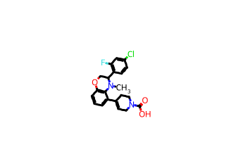 CN1c2c(cccc2C2=CCN(C(=O)O)CC2)OCC1c1ccc(Cl)cc1F